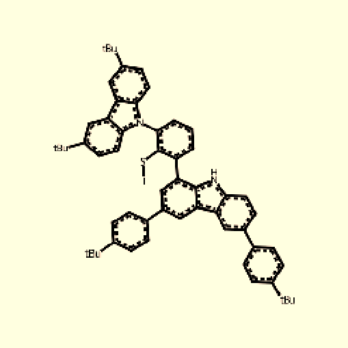 CC(C)(C)c1ccc(-c2ccc3[nH]c4c(-c5cccc(-n6c7ccc(C(C)(C)C)cc7c7cc(C(C)(C)C)ccc76)c5SI)cc(-c5ccc(C(C)(C)C)cc5)cc4c3c2)cc1